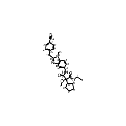 CCOC(=O)C(OC)(C(=O)Nc1ccc2c(c1)nc(Cc1ccc(C#N)cc1)n2C)C1CCCC1